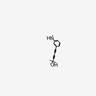 CNc1cccc(C#CC#CC(C)(C)O)c1